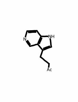 CC(=O)CCc1c[nH]c2ccncc12